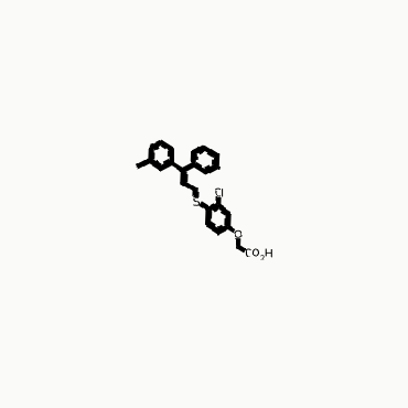 Cc1cccc(C(=CCSc2ccc(OCC(=O)O)cc2Cl)c2ccccc2)c1